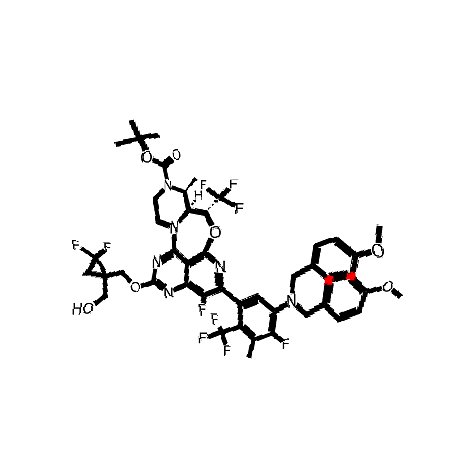 COc1ccc(CN(Cc2ccc(OC)cc2)c2cc(-c3nc4c5c(nc(OCC6(CO)CC6(F)F)nc5c3F)N3CCN(C(=O)OC(C)(C)C)[C@@H](C)[C@H]3[C@H](C(F)(F)F)O4)c(C(F)(F)F)c(C)c2F)cc1